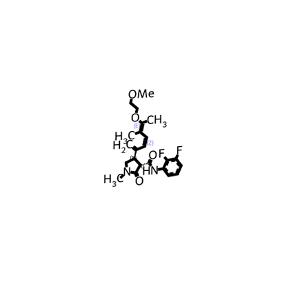 C=C(/C=C\C(C)=C(/C)OCCOC)[C@@H]1CN(C)C(=O)[C@H]1C(=O)Nc1cccc(F)c1F